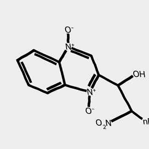 CCCC(C(O)c1c[n+]([O-])c2ccccc2[n+]1[O-])[N+](=O)[O-]